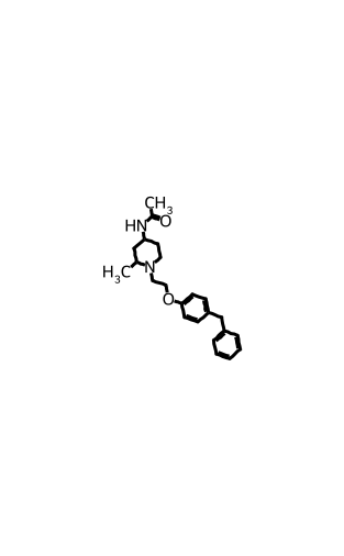 CC(=O)NC1CCN(CCOc2ccc(Cc3ccccc3)cc2)C(C)C1